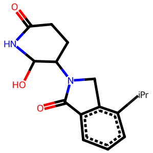 CC(C)c1cccc2c1CN(C1CCC(=O)NC1O)C2=O